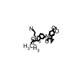 CCC(C)(C)C1Cc2cc(NC(=O)C3(c4ccc5c(c4)OCO5)CC3)ccc2N1CCC#N